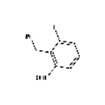 CC(C)Cc1c(I)cccc1C=O